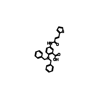 O=C(/C=C/c1cccs1)Nc1ccc(N(Cc2ccccc2)Cc2ccccc2)c(C(=O)O)c1